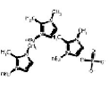 CCCC[n+]1ccn(C)c1C.CCCC[n+]1ccn(C)c1C.CCCC[n+]1ccn(C)c1C.O=P([O-])([O-])[O-]